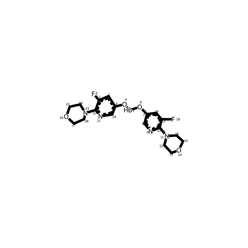 Fc1cc(OBOc2cnc(N3CCOCC3)c(F)c2)cnc1N1CCOCC1